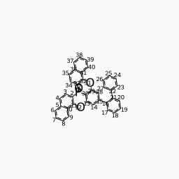 O=P12c3ccc4ccccc4c3Oc3cc(-c4ccccc4-c4ccccc4)cc(c31)Oc1c2ccc2ccccc12